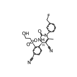 CC1=C(C#N)[C@@H](c2ccc(C#N)cc2S(=O)(=O)CCO)NC(=O)N1c1cccc(CF)c1